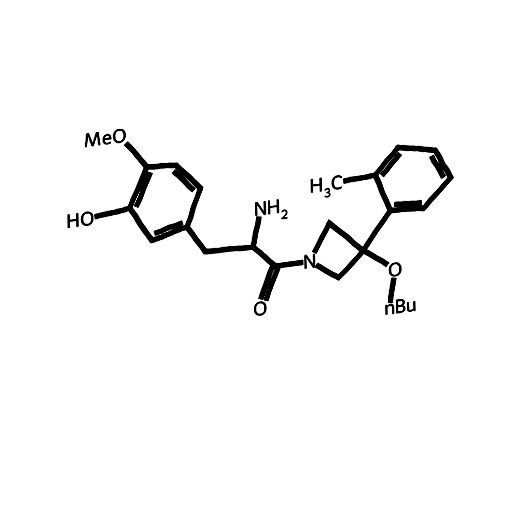 CCCCOC1(c2ccccc2C)CN(C(=O)C(N)Cc2ccc(OC)c(O)c2)C1